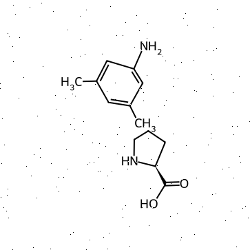 Cc1cc(C)cc(N)c1.O=C(O)[C@@H]1CCCN1